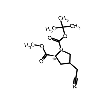 COC(=O)[C@@H]1CC(CC#N)CN1C(=O)OC(C)(C)C